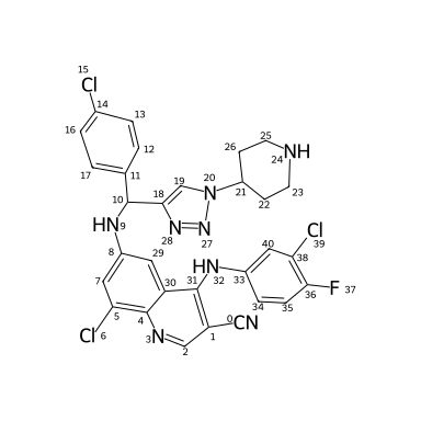 N#Cc1cnc2c(Cl)cc(NC(c3ccc(Cl)cc3)c3cn(C4CCNCC4)nn3)cc2c1Nc1ccc(F)c(Cl)c1